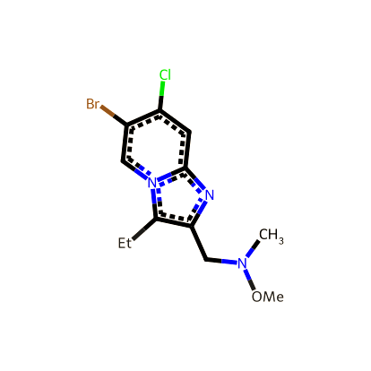 CCc1c(CN(C)OC)nc2cc(Cl)c(Br)cn12